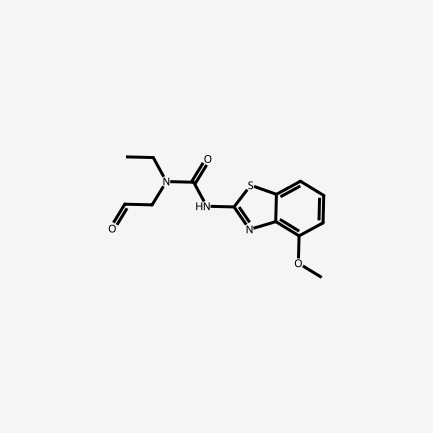 CCN(CC=O)C(=O)Nc1nc2c(OC)cccc2s1